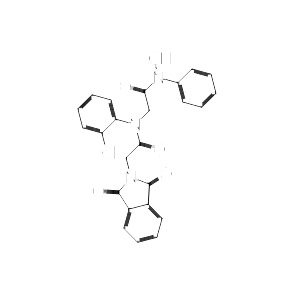 CN(C(=O)CN(C(=O)CN1C(=O)c2ccccc2C1=O)c1ccccc1Cl)c1ccccc1